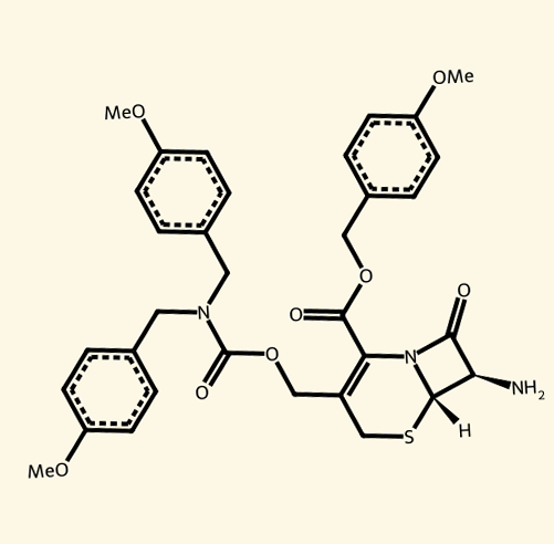 COc1ccc(COC(=O)C2=C(COC(=O)N(Cc3ccc(OC)cc3)Cc3ccc(OC)cc3)CS[C@H]3[C@H](N)C(=O)N23)cc1